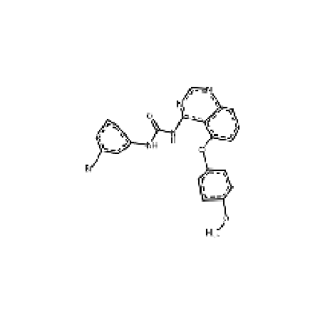 COc1ccc(Oc2cccc3ncnc(NC(=O)Nc4cccc(Br)c4)c23)cc1